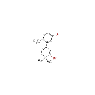 CC(=O)C1(C(C)=O)CC=C(c2cc(Br)ccc2C(F)(F)F)C=C1Br